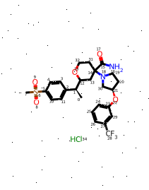 C[C@@H](c1ccc(S(C)(=O)=O)cc1)C1CC(C(N)=O)(N2CC[C@@H](Oc3cccc(C(F)(F)F)c3)C2)CCO1.Cl